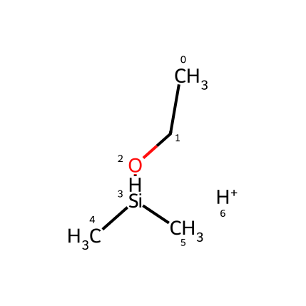 CCO[SiH](C)C.[H+]